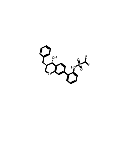 O=S(=O)(Nc1ccccc1-c1ccc2c(c1)OC[C@@H](Cc1ccccn1)[C@@H]2O)C(F)F